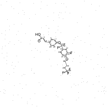 O=C(O)C=Cc1ccc(OC(F)(F)c2ccc(OCCCC(F)(F)F)c(F)c2)cc1